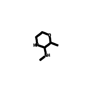 CNC1NCCOC1C